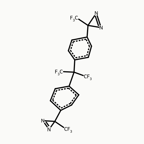 FC(F)(F)C1(c2ccc(C(c3ccc(C4(C(F)(F)F)N=N4)cc3)(C(F)(F)F)C(F)(F)F)cc2)N=N1